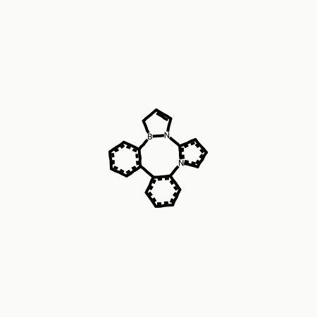 C1=CN2B(C1)c1ccccc1-c1ccccc1-n1cccc12